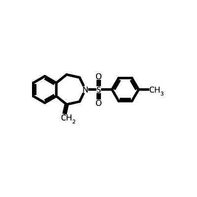 C=C1CN(S(=O)(=O)c2ccc(C)cc2)CCc2ccccc21